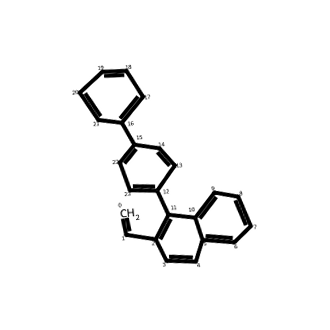 C=Cc1ccc2ccccc2c1-c1ccc(-c2ccccc2)cc1